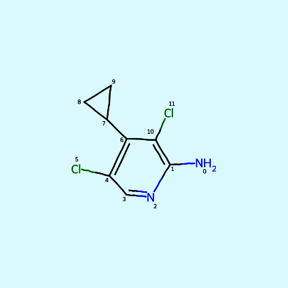 Nc1ncc(Cl)c(C2CC2)c1Cl